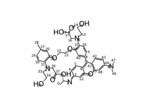 CC/N=c1\ccc2c(-c3ccc(N(CCO)CC(=O)O)c(OCCOc4cc(C)ccc4N(CCO)CC(=O)O)c3)c3ccc(N(C)C)cc3oc-2c1